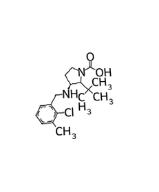 Cc1cccc(CN[C@H]2CCN(C(=O)O)C2C(C)(C)C)c1Cl